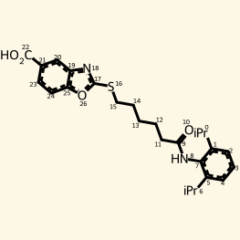 CC(C)c1cccc(C(C)C)c1NC(=O)CCCCCSc1nc2cc(C(=O)O)ccc2o1